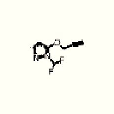 C#CCOc1c[c]nn1C(F)F